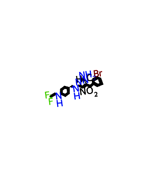 Cc1c(Br)cccc1Cc1nc(N)nc(NC[C@H]2CC[C@H](NCC(F)F)CC2)c1[N+](=O)[O-]